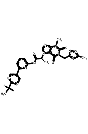 Cc1nc(Cn2c(=O)c3c(ncn3[C@@H](C)C(=O)Nc3cccc(-c4cnc(C(C)(F)F)nc4)n3)n(C)c2=O)no1